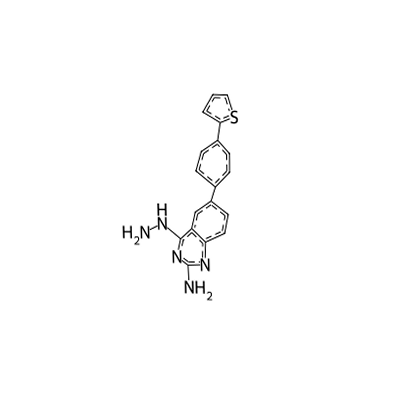 NNc1nc(N)nc2ccc(-c3ccc(-c4cccs4)cc3)cc12